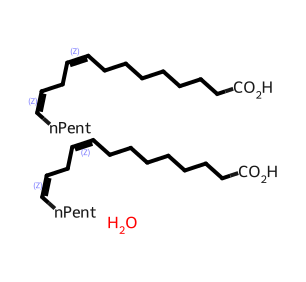 CCCCC/C=C\C/C=C\CCCCCCCC(=O)O.CCCCC/C=C\C/C=C\CCCCCCCC(=O)O.O